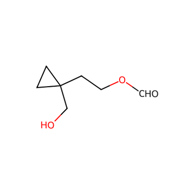 O=COCCC1(CO)CC1